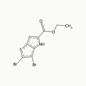 CCOC(=O)c1cc2sc(Br)c(Br)c2[nH]1